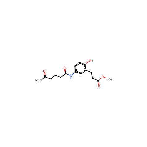 COC(=O)CCCC(=O)Nc1ccc(O)c(CCC(=O)OC(C)(C)C)c1